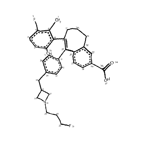 Cc1ccc(F)c(C)c1C1=C(c2ccc(CC3CN(CCCF)C3)cc2)c2ccc(C(=O)O)cc2CCC1